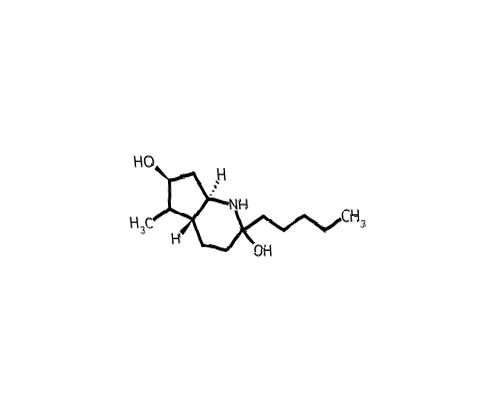 CCCCCC1(O)CC[C@@H]2C(C)[C@@H](O)C[C@H]2N1